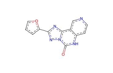 O=c1[nH]c2ccncc2c2nc(-c3ccco3)nn12